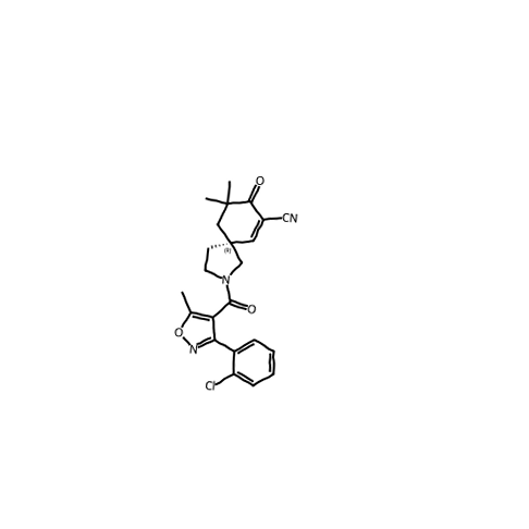 Cc1onc(-c2ccccc2Cl)c1C(=O)N1CC[C@]2(C=C(C#N)C(=O)C(C)(C)C2)C1